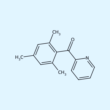 Cc1cc(C)c(C(=O)c2ccccn2)c(C)c1